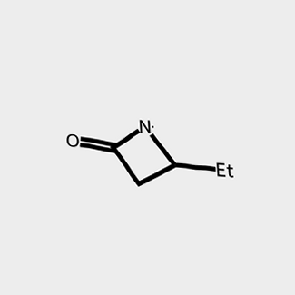 CCC1CC(=O)[N]1